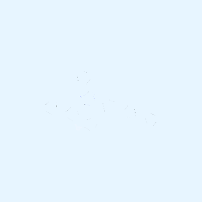 C1=CC(c2ccc(-c3ccccc3)cc2)CC=C1c1nc(-c2ccccc2)nc(-c2cc(-c3ccccc3)cc3oc4ccccc4c23)n1